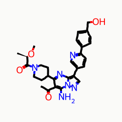 CO[C@H](C)C(=O)N1CCC(c2nc3c(-c4ccc(-c5ccc(CO)cc5)nc4)cnn3c(N)c2C(C)=O)CC1